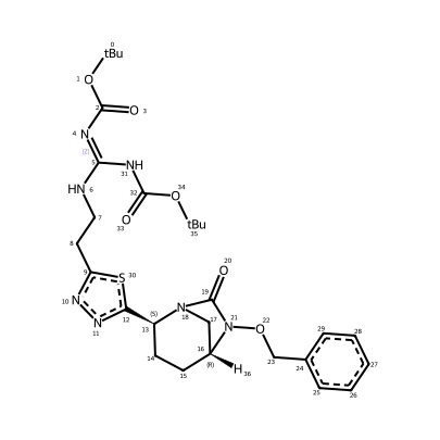 CC(C)(C)OC(=O)/N=C(/NCCc1nnc([C@@H]2CC[C@@H]3CN2C(=O)N3OCc2ccccc2)s1)NC(=O)OC(C)(C)C